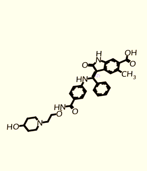 Cc1cc2c(cc1C(=O)O)NC(=O)/C2=C(\Nc1ccc(C(=O)NOCCN2CCC(O)CC2)cc1)c1ccccc1